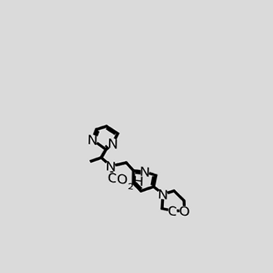 CC(c1ncccn1)N(Cc1ccc(N2CCOCC2)cn1)C(=O)O